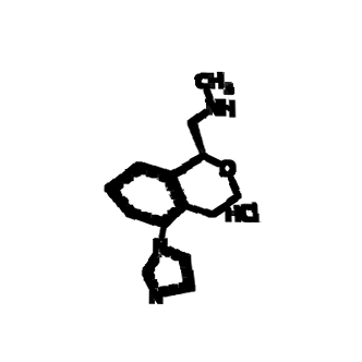 CNC[C@H]1OCCc2c1cccc2-n1ccnc1.Cl